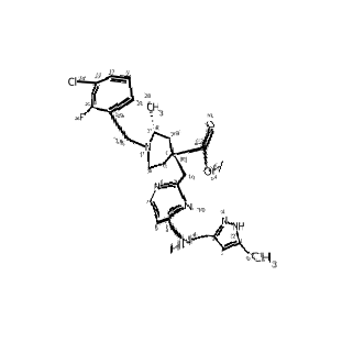 Cc1cc(Nc2ccnc(C[C@@]3(C(=O)O)CCN(Cc4cccc(Cl)c4F)[C@H](C)C3)n2)n[nH]1